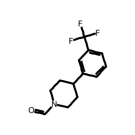 O=CN1CCC(c2cccc(C(F)(F)F)c2)CC1